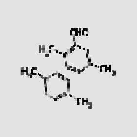 Cc1ccc(C)c(C=O)c1.Cc1ccc(C)cc1